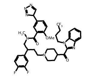 COc1ccc(C2C=NN=N2)cc1C(=O)N(C)CC(CCN1CCC(C(=O)c2nc3ccccc3n2CCCC(F)(F)F)CC1)c1ccc(F)c(F)c1